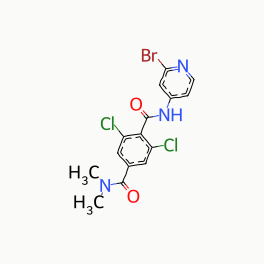 CN(C)C(=O)c1cc(Cl)c(C(=O)Nc2ccnc(Br)c2)c(Cl)c1